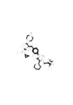 CCc1nonc1C(=O)N[C@H](C(=O)Nc1ccc([C@H](C)[C@@H](NC(=O)N(CC)C2CC2)C(=O)N2CCN(C)CC2)cc1F)[C@H]1CC[C@H](C)CC1